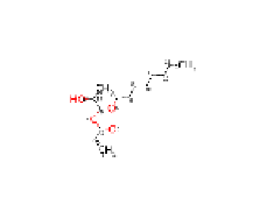 C=CC(=O)OC(OCCCCCCCC)C(C)O